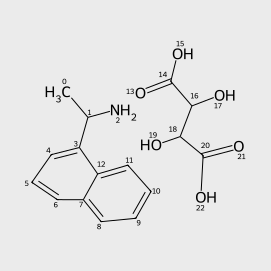 CC(N)c1cccc2ccccc12.O=C(O)C(O)C(O)C(=O)O